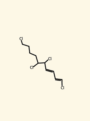 ClC=CC=CC(Cl)C(Cl)CCCCCl